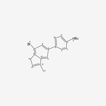 CCCCc1ccc(-c2cc(Br)c3c(c2)C(C)=CC3)cc1